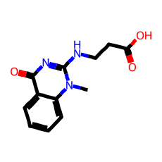 Cn1c(NCCC(=O)O)nc(=O)c2ccccc21